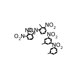 Cc1c([N+](=O)[O-])cccc1[N+](=O)[O-].Cc1cc([N+](=O)[O-])cc([N+](=O)[O-])c1.Cc1cccc([N+](=O)[O-])c1[N+](=O)[O-].Cc1ccccc1